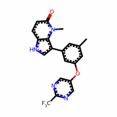 Cc1cc(Oc2cnc(C(F)(F)F)nc2)cc(-c2c[nH]c3ccc(=O)n(C)c23)c1